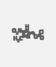 Cc1nc(COC(=O)Cl)[nH]c1[N+](=O)[O-]